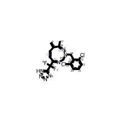 C=C1/C=C\C(C(F)(F)c2nnn[nH]2)=N/CN(Cc2c(Cl)cccc2Cl)/N=C\1C